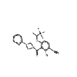 CC(Oc1ccc(C#N)c(Cl)c1C(=O)N1CC(c2ccccn2)C1)C(F)(F)F